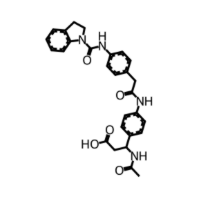 CC(=O)NC(CC(=O)O)c1ccc(NC(=O)Cc2ccc(NC(=O)N3CCc4ccccc43)cc2)cc1